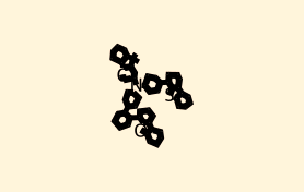 CC1(C)c2ccccc2-c2ccc(N(c3ccc(-c4ccccc4-c4cccc5c4oc4ccccc45)cc3)c3ccc(-c4cccc5c4sc4ccccc45)cc3)cc21